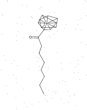 CCCCCCCC(=O)[C]12[CH]3[CH]4[CH]5[CH]1[Fe]45321678[CH]2[CH]1[CH]6[CH]7[CH]28